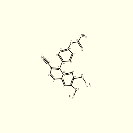 COc1cc2ncc(C#N)c(-c3ccc(OC(N)=O)nc3)c2cc1OC